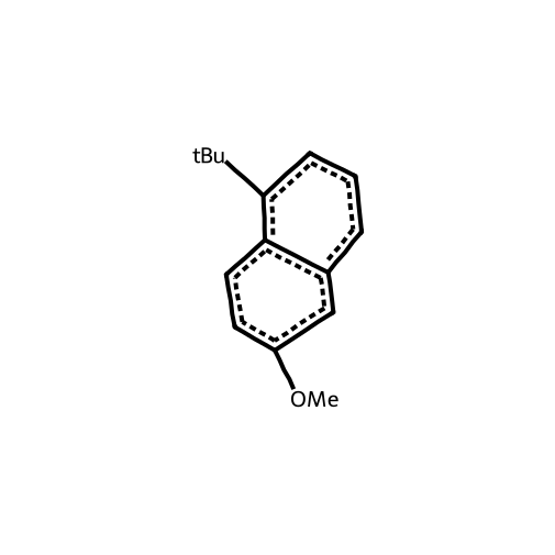 COc1ccc2c(C(C)(C)C)cccc2c1